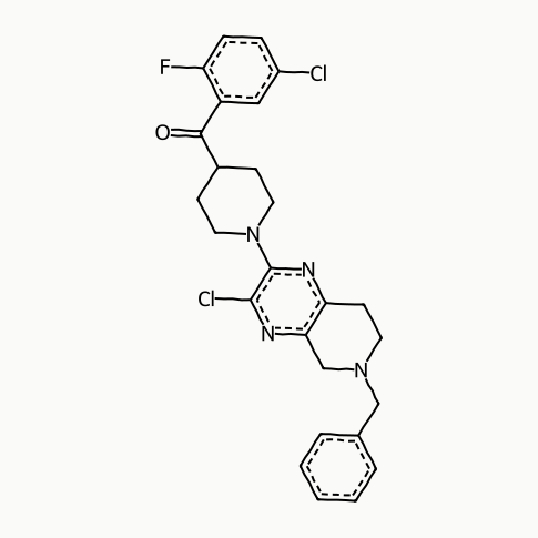 O=C(c1cc(Cl)ccc1F)C1CCN(c2nc3c(nc2Cl)CN(Cc2ccccc2)CC3)CC1